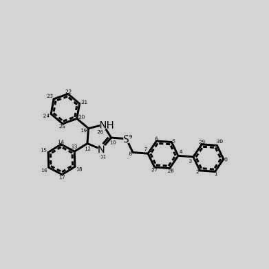 c1ccc(-c2ccc(CSC3=NC(c4ccccc4)C(c4ccccc4)N3)cc2)cc1